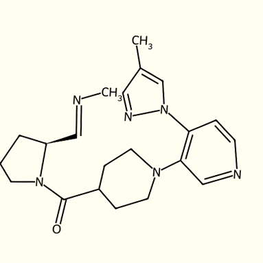 CN=C[C@@H]1CCCN1C(=O)C1CCN(c2cnccc2-n2cc(C)cn2)CC1